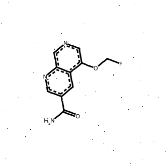 NC(=O)c1cnc2cncc(OCF)c2c1